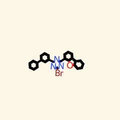 Brc1nc(-c2cccc(-c3ccccc3)c2)nc(-c2cccc3c2oc2ccccc23)n1